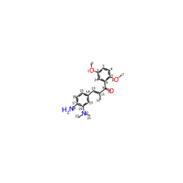 COc1ccc(OC)c(C(=O)C(C)=Cc2ccc(N)c(N(C)C)c2)c1